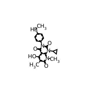 CBc1ccc(-n2c(=O)c3c(O)c(C)c(=O)n(C)c3n(C3CC3)c2=O)cc1